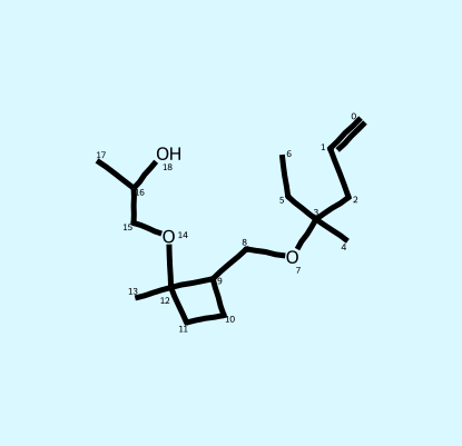 C=CCC(C)(CC)OCC1CCC1(C)OCC(C)O